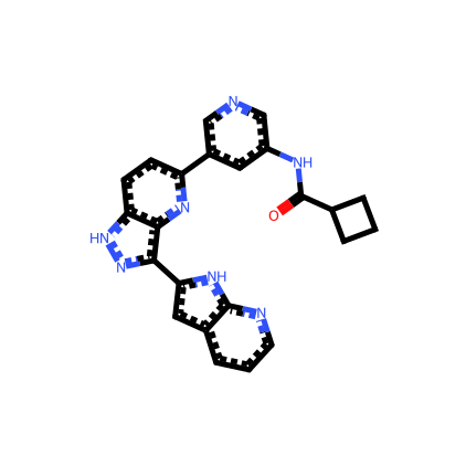 O=C(Nc1cncc(-c2ccc3[nH]nc(-c4cc5cccnc5[nH]4)c3n2)c1)C1CCC1